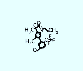 CCCN1C(=O)C(C)(C)c2cc(C)c(-c3cc(C=O)ccc3OC(F)(F)F)cc21